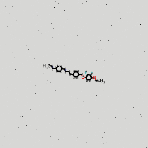 C/C=C/C1CCC(/C=C/CCC2CCC(COc3ccc(OCC)c(F)c3F)CC2)CC1